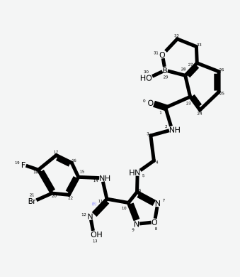 O=C(NCCNc1nonc1/C(=N\O)Nc1ccc(F)c(Br)c1)c1cccc2c1B(O)OCC2